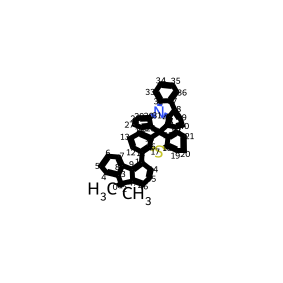 CC1(C)c2ccccc2-c2c(-c3cccc4c3Sc3ccccc3C43c4ccccc4-n4c5ccccc5c5cccc3c54)cccc21